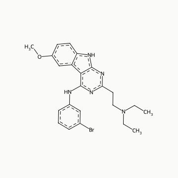 CCN(CC)CCc1nc(Nc2cccc(Br)c2)c2c(n1)[nH]c1ccc(OC)cc12